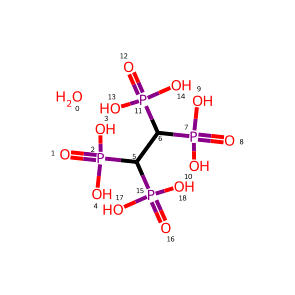 O.O=P(O)(O)C(C(P(=O)(O)O)P(=O)(O)O)P(=O)(O)O